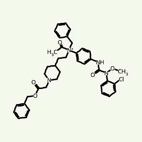 CON(C(=O)Nc1ccc([N+](CCC2CCN(CC(=O)OCc3ccccc3)CC2)(Cc2ccccc2)C(C)=O)cc1)c1ccccc1Cl